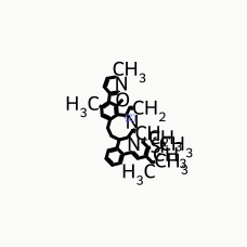 C=C/C1=N/C(=C)C2C(CCc3cc(C)c4c(oc5nc(C)ccc54)c31)c1ccccc1-c1cc(C(C)C)c([Si](C)(C)C)c[n+]12